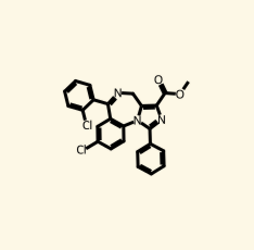 COC(=O)c1nc(-c2ccccc2)n2c1CN=C(c1ccccc1Cl)c1cc(Cl)ccc1-2